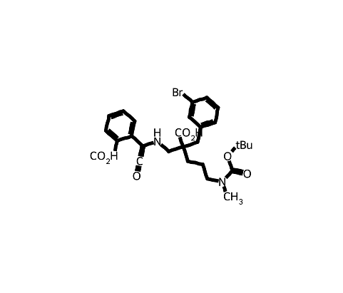 CN(CCCC(CNC(=C=O)c1ccccc1C(=O)O)(Cc1cccc(Br)c1)C(=O)O)C(=O)OC(C)(C)C